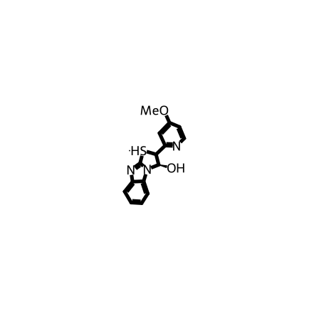 COc1ccnc(C2[SH]c3nc4ccccc4n3[C@@H]2O)c1